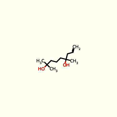 C=CCC(C)(O)CCCC(C)(C)O